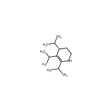 CC(C)C1=C(C(C)C)N(C(C)C)CCN1